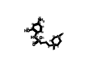 CN1CC[N+](C)(CCCS(=O)(=O)Nc2ccc(N)cc2O)CC1